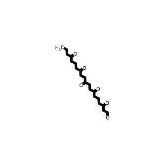 CCCC(=O)CCCC(=O)CCC(=O)CCC(=O)CCCC(=O)CC=O